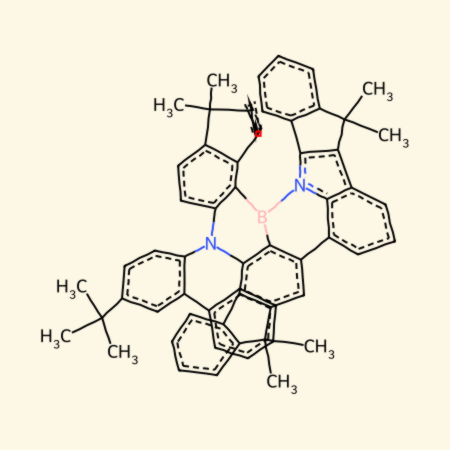 CC(C)(C)c1ccc(N2c3ccc4c(c3B3c5c(cc6c(c52)-c2ccccc2C6(C)C)-c2cccc5c6c(n3c25)-c2ccccc2C6(C)C)-c2ccccc2C4(C)C)c(-c2ccccc2)c1